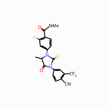 CNC(=O)c1ccc(N2C(=S)N(c3ccc(C#N)c(C(F)(F)F)c3)C(=O)C2C)cc1F